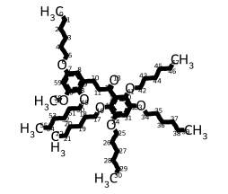 CCCCCCOc1cc(CCC(=O)c2c(OCCCCCC)c(OCCCCCC)cc(OCCCCCC)c2OCCCCCC)c(OCCCCCC)c(OC)c1